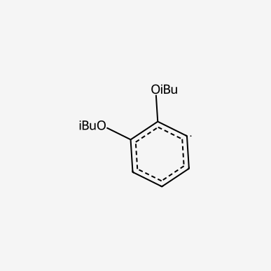 CC(C)COc1[c]cccc1OCC(C)C